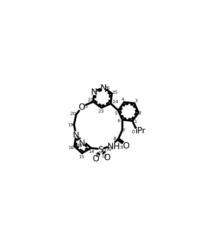 CC(C)c1cccc2c1CC(=O)NS(=O)(=O)c1ccn(n1)CCOc1cc-2cnn1